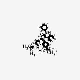 CC(C)(C)O[C@H]1CN[C@@H](C(=O)N(c2ccc(C(C)(C)C)cc2)C(C(=O)NC2CCCCC2)c2cccnc2)C1